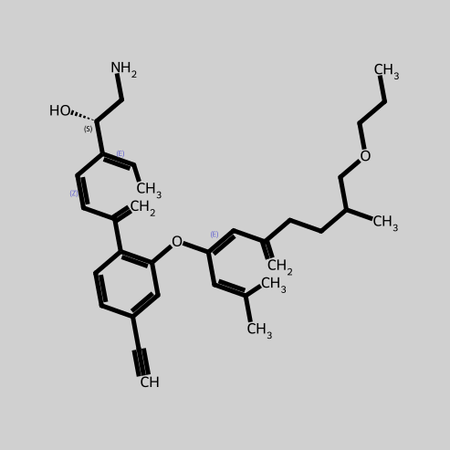 C#Cc1ccc(C(=C)/C=C\C(=C/C)[C@H](O)CN)c(O/C(C=C(C)C)=C/C(=C)CCC(C)COCCC)c1